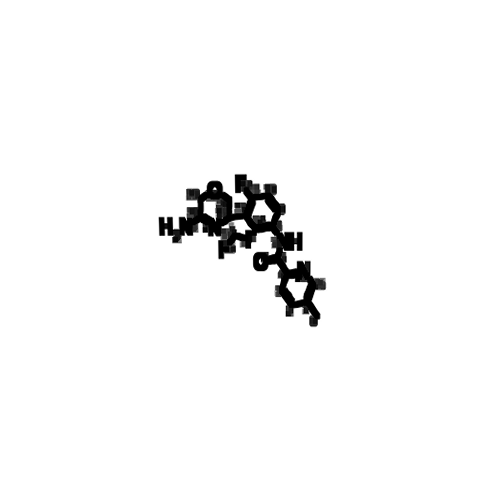 Cc1ccc(C(=O)Nc2ccc(F)c([C@]3(C(F)F)COCC(N)=N3)c2)nc1